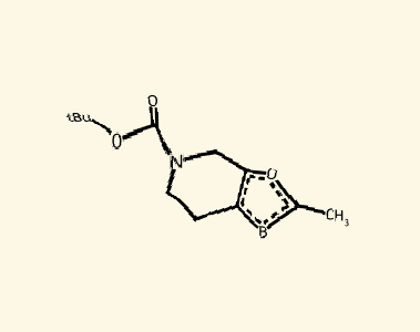 Cc1bc2c(o1)CN(C(=O)OC(C)(C)C)CC2